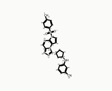 Cc1ccc(S(=O)(=O)n2ccc3c2ncc2nnc([C@@H]4CC[C@@H](Nc5cccc(C#N)c5)C4)n23)cc1